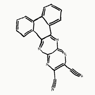 N#Cc1nc2nc3c4ccccc4c4ccccc4c3nc2nc1C#N